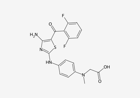 CN(CC(=O)O)c1ccc(Nc2nc(N)c(C(=O)c3c(F)cccc3F)s2)cc1